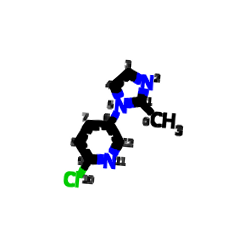 Cc1nccn1-c1ccc(Cl)nc1